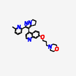 Cc1cccc(-c2nn3c(c2-c2ccnc4cc(OCCCN5CCOCC5)ccc24)CCC3)n1